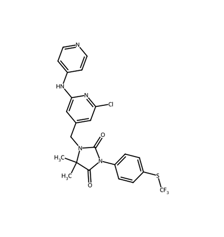 CC1(C)C(=O)N(c2ccc(SC(F)(F)F)cc2)C(=O)N1Cc1cc(Cl)nc(Nc2ccncc2)c1